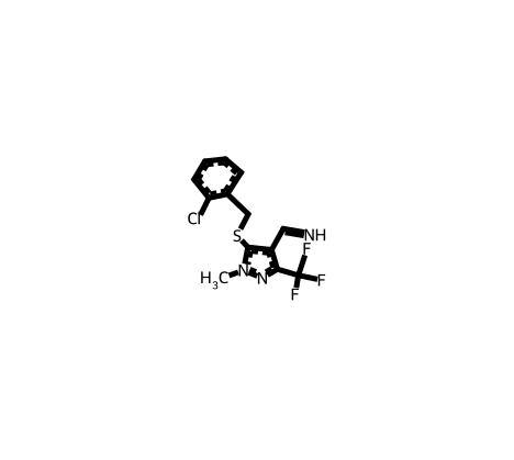 Cn1nc(C(F)(F)F)c(C=N)c1SCc1ccccc1Cl